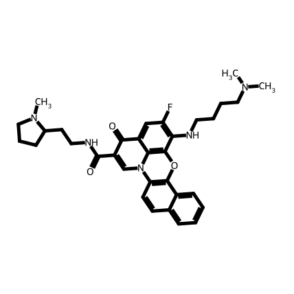 CN(C)CCCCNc1c(F)cc2c(=O)c(C(=O)NCCC3CCCN3C)cn3c2c1Oc1c-3ccc2ccccc12